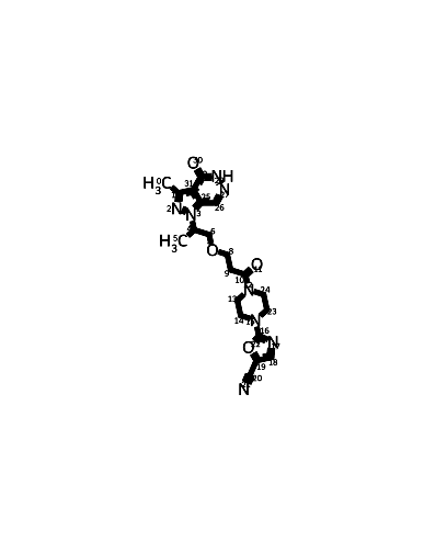 Cc1nn(C(C)COCCC(=O)N2CCN(c3ncc(C#N)o3)CC2)c2cn[nH]c(=O)c12